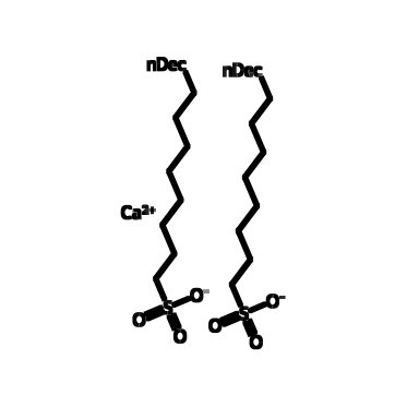 CCCCCCCCCCCCCCCCCCS(=O)(=O)[O-].CCCCCCCCCCCCCCCCCCS(=O)(=O)[O-].[Ca+2]